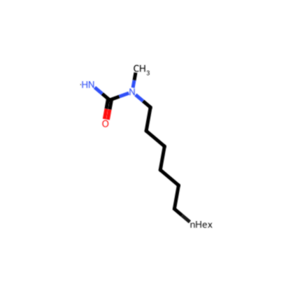 CCCCCCCCCCCCN(C)C([NH])=O